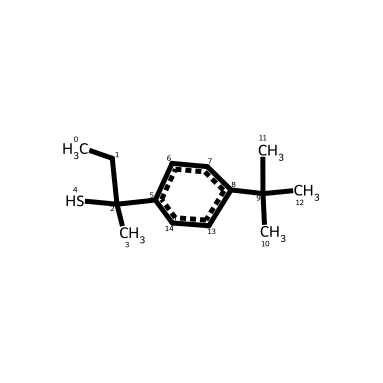 CCC(C)(S)c1ccc(C(C)(C)C)cc1